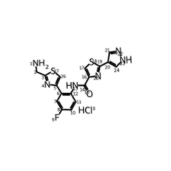 Cl.NCc1nc(-c2cc(F)ccc2NC(=O)c2csc(-c3cn[nH]c3)n2)cs1